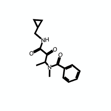 CC(C(=O)C(=O)NCC1CC1)N(C)C(=O)c1ccccc1